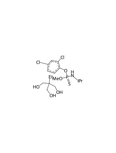 CCC(CO)(CO)CO.COP(=S)(NC(C)C)Oc1ccc(Cl)cc1Cl